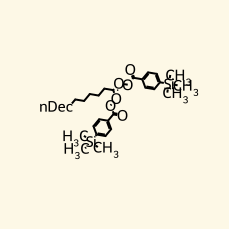 [CH2]CCCCCCCCCCCCCC[C](OOC(=O)c1ccc([Si](C)(C)C)cc1)OOC(=O)c1ccc([Si](C)(C)C)cc1